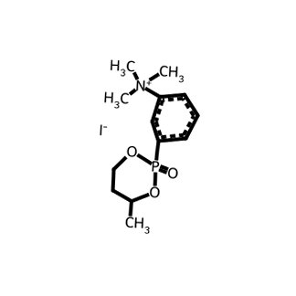 CC1CCOP(=O)(c2cccc([N+](C)(C)C)c2)O1.[I-]